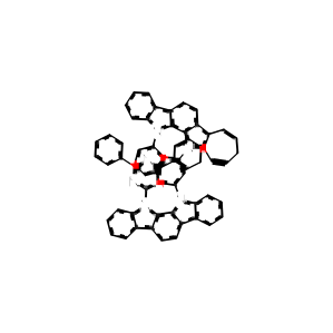 C1#Cc2c(c3ccc4c5ccccc5n(-c5ccccc5)c4c3n2-c2cccc(-n3c4ccccc4c4ccc5c6ccccc6n(-c6nc(C7=CCCC=C7)nc(-c7ccccc7)n6)c5c43)c2)C=CC1